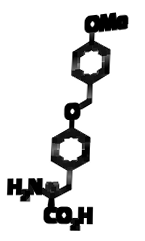 COc1ccc(COc2ccc(C[C@H](N)C(=O)O)cc2)cc1